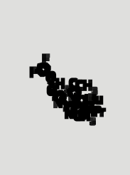 Cc1ncc(-c2ccc(OCCOc3cc(F)cc(F)c3)cn2)c(N2CCC(C)(C)CC2)c1[C@H](OC(C)(C)C)C(=O)OC(C)C